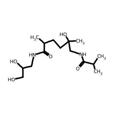 CC(C)C(=O)NCC(C)(O)CCC(C)C(=O)NCC(O)CO